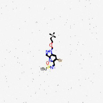 CC(C)(C)[S+]([O-])/N=C\c1nc2cnn(COCC[Si](C)(C)C)c2cc1Br